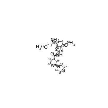 COCCN(C)c1ccc(OC)c2nc(NC(=O)c3ccnc(N4CCOCC4)c3)sc12